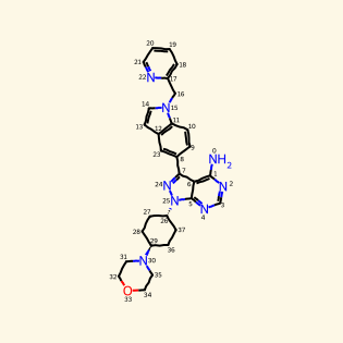 Nc1ncnc2c1c(-c1ccc3c(ccn3Cc3ccccn3)c1)nn2[C@H]1CC[C@H](N2CCOCC2)CC1